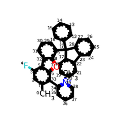 Cc1cc(F)c2c(oc3c(C4(c5ccccc5)c5ccccc5-c5ccccc54)cccc32)c1-c1cccc[n+]1C